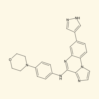 c1cn2c(n1)c(Nc1ccc(N3CCOCC3)cc1)nc1cc(-c3cn[nH]c3)ccc12